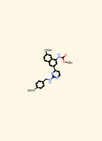 COc1ccc(CNc2nccc(-c3cc(NC(=O)OC(C)(C)C)c4cc(OC)ccc4c3)n2)cc1